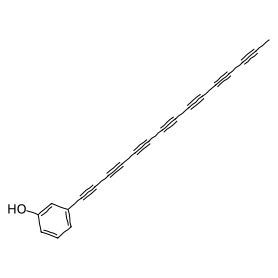 CC#CC#CC#CC#CC#CC#CC#Cc1cccc(O)c1